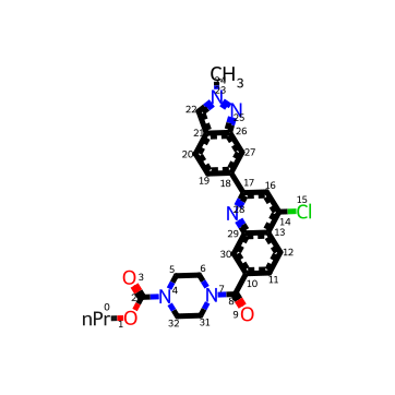 CCCOC(=O)N1CCN(C(=O)c2ccc3c(Cl)cc(-c4ccc5cn(C)nc5c4)nc3c2)CC1